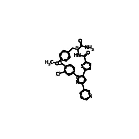 COc1ccc(C[C@H](NC(=O)c2ccc(-c3cc(-c4cccnc4)nn3-c3ccc(Cl)c(Cl)c3)s2)C(N)=O)cc1